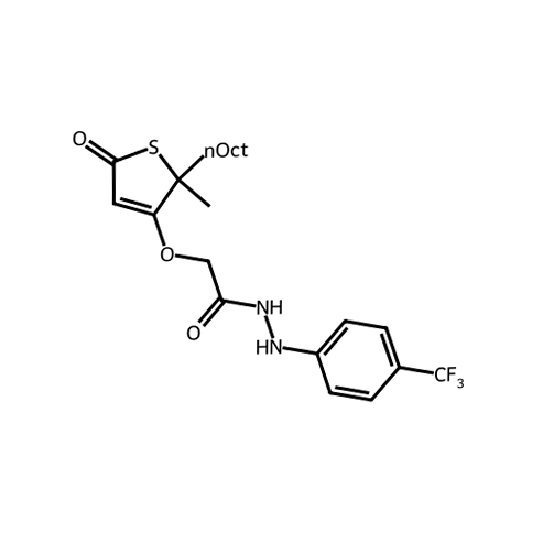 CCCCCCCCC1(C)SC(=O)C=C1OCC(=O)NNc1ccc(C(F)(F)F)cc1